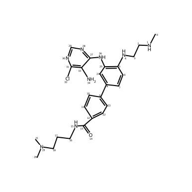 CNCCNc1ccc(-c2ccc(C(=O)NCCCN(C)C)cc2)cc1Nc1ncnc(Cl)c1N